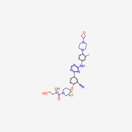 Cc1cc(Nc2ncnc(-c3ccc(O[C@H]4CCN(C(=O)[C@H](O)CCO)C[C@H]4F)c(C#N)c3)n2)ccc1N1CCN(C2COC2)CC1